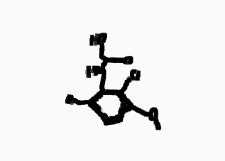 COc1ccc(Br)c(NC(=O)O)c1Cl